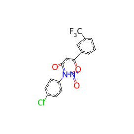 O=c1cc(-c2cccc(C(F)(F)F)c2)o[n+](=O)n1-c1ccc(Cl)cc1